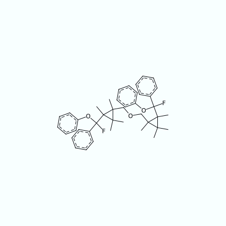 CC1(C)C(C)(COCC2(C)C(C)(C)C2(C)C(F)(Oc2ccccc2)c2ccccc2)C1(C)C(F)(Oc1ccccc1)c1ccccc1